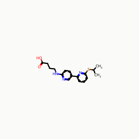 CC(C)Sc1cccc(-c2ccc(NCCCC(=O)O)nc2)n1